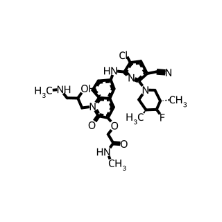 CNCC(O)Cn1c(=O)c(OCC(=O)NC)cc2cc(Nc3nc(N4C[C@@H](C)C(F)[C@@H](C)C4)c(C#N)cc3Cl)ccc21